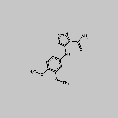 COc1ccc(Nc2snnc2C(N)=O)cc1OC